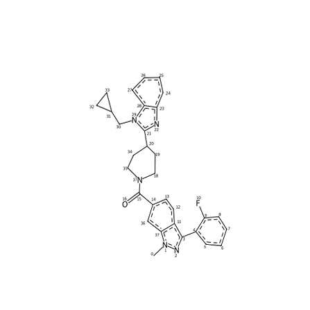 Cn1nc(-c2ccccc2F)c2ccc(C(=O)N3CCC(c4nc5ccccc5n4CC4CC4)CC3)cc21